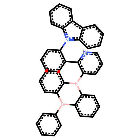 c1ccc(B2c3ccccc3B(c3cccnc3-c3ccccc3-n3c4ccccc4c4ccccc43)c3ccccc32)cc1